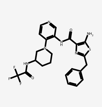 Nc1sc(Cc2ccccc2)nc1C(=O)Nc1cnccc1N1CCCC(NC(=O)C(F)(F)F)C1